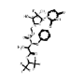 CC(C(=O)OC(C(F)(F)F)C(F)(F)F)N(Oc1ccccc1)[PH](=O)OC[C@H]1O[C@@H](n2ccc(=O)[nH]c2=O)[C@](C)(F)[C@@H]1O